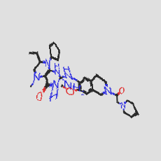 CCC1CN(C)C2=C(N[C@@](N)(Nc3cc4c(cc3OC)CN(C(=O)CN3CCCCC3)CC4)NC2=O)N1C1CCCC1